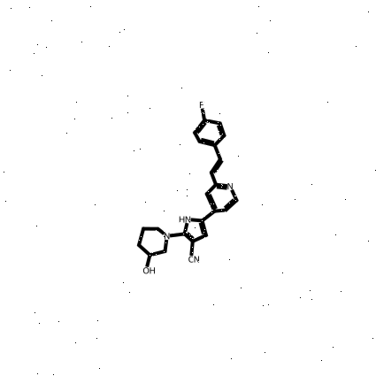 N#Cc1cc(-c2ccnc(C=Cc3ccc(F)cc3)c2)[nH]c1N1CCCC(O)C1